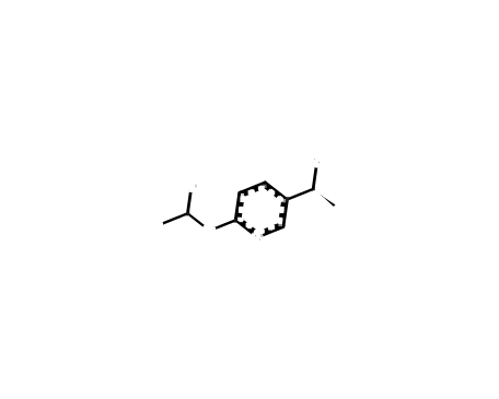 CC(O)Oc1ccc([C@H](C)N)cn1